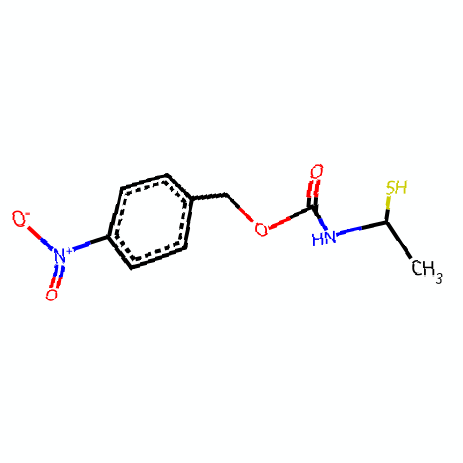 CC(S)NC(=O)OCc1ccc([N+](=O)[O-])cc1